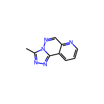 Cc1nnc2c3cccnc3cnn12